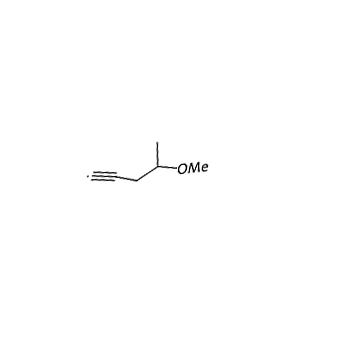 [C]#CCC(C)OC